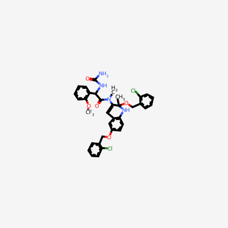 CN(C(=O)C(NC(N)=O)c1ccccc1OC(F)(F)F)C1=Cc2cc(OCc3ccccc3Cl)ccc2NC1(C)OCc1ccccc1Cl